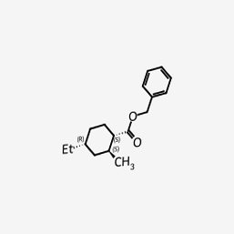 CC[C@@H]1CC[C@H](C(=O)OCc2ccccc2)[C@@H](C)C1